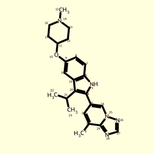 Cc1cc(-c2[nH]c3ccc(OC4CCN(C)CC4)cc3c2C(C)C)cn2ncnc12